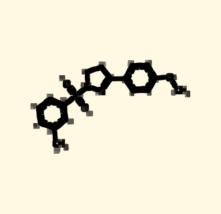 COc1ccc(C2=NN(S(=O)(=O)c3cccc(C)c3)CC2)cc1